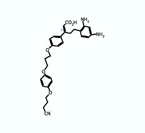 N#CCCCOc1ccc(OCCCOc2ccc(/C(=C/C(=O)O)CCc3ccc(N)cc3N)cc2)cc1